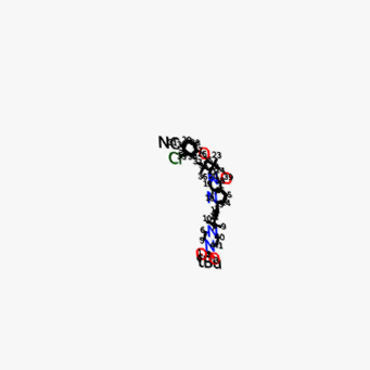 CC(C)(C)OC(=O)N1CCN(C(C)(C)C#Cc2ccc3c(n2)CN([C@H]2C(C)(C)[C@H](Oc4ccc(C#N)c(Cl)c4)C2(C)C)C3=O)CC1